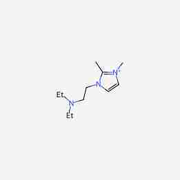 CCN(CC)CCn1cc[n+](C)c1C